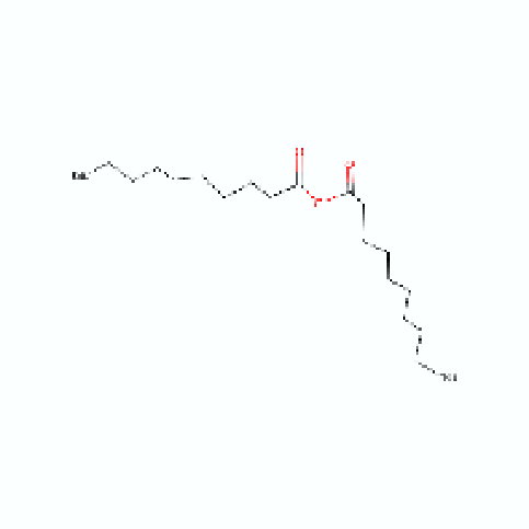 CC(C)(C)CCCCCCCCC(=O)OC(=O)CCCCCCCCC(C)(C)C